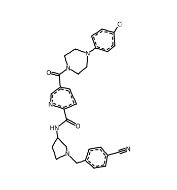 N#Cc1ccc(CN2CCC(NC(=O)c3ccc(C(=O)N4CCN(c5ccc(Cl)cc5)CC4)cn3)C2)cc1